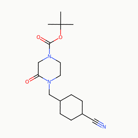 CC(C)(C)OC(=O)N1CCN(CC2CCC(C#N)CC2)C(=O)C1